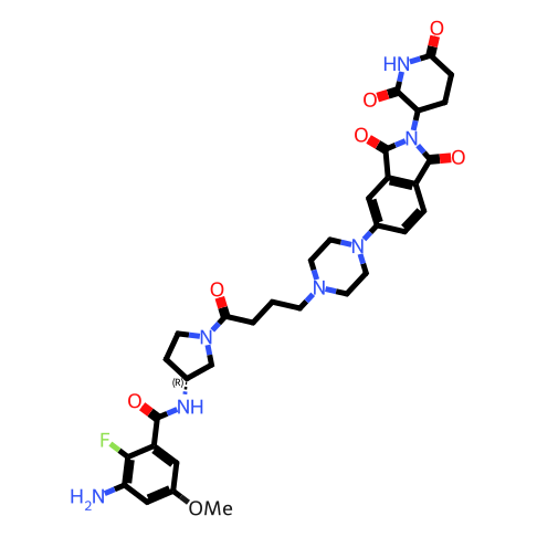 COc1cc(N)c(F)c(C(=O)N[C@@H]2CCN(C(=O)CCCN3CCN(c4ccc5c(c4)C(=O)N(C4CCC(=O)NC4=O)C5=O)CC3)C2)c1